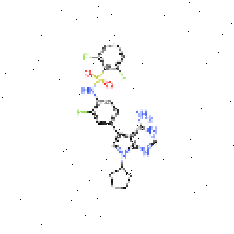 Nc1ncnc2c1c(-c1ccc(NS(=O)(=O)c3c(F)cccc3F)c(F)c1)cn2C1CCCC1